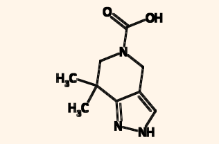 CC1(C)CN(C(=O)O)Cc2c[nH]nc21